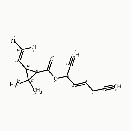 C#CCC=CC(C#C)OC(=O)C1C(C=C(Cl)Cl)C1(C)C